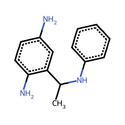 CC(Nc1ccccc1)c1cc(N)ccc1N